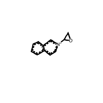 c1ccc2c[n+](C3CO3)ccc2c1